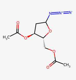 CC(=O)OC[C@H]1OC(N=[N+]=[N-])C[C@@H]1OC(C)=O